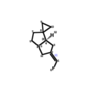 F/C=C1/C[C@H]2N(CCC23CC3)C1